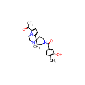 Cc1ccc(C(=O)N2CCC3(CC2)c2ccc(C(=O)C(F)(F)F)n2CCN3C)cc1O